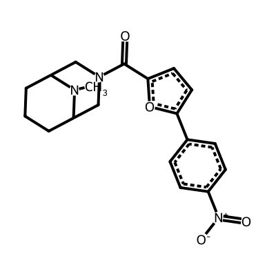 CN1C2CCCC1CN(C(=O)c1ccc(-c3ccc([N+](=O)[O-])cc3)o1)C2